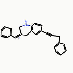 C(#Cc1ccc2c(c1)C/C(=C/c1ccccc1)CN2)Cc1ccccc1